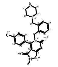 Cn1[nH]c2cc(=O)n(Cc3ccccc3CN3CCOCC3)c(-c3ccc(Cl)cc3)c2c1=O